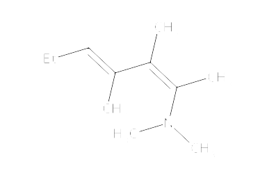 CC/C=C(C)/C(C)=C(/C)N(C)C